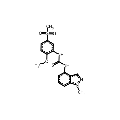 COc1ccc(S(C)(=O)=O)cc1NC(=S)Nc1cccc2c1cnn2C